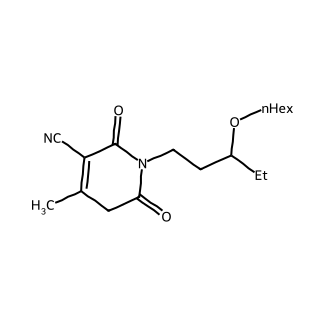 CCCCCCOC(CC)CCN1C(=O)CC(C)=C(C#N)C1=O